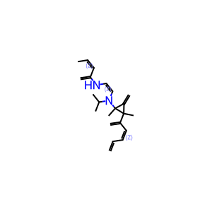 C=C/C=C\C(=C)C1(C)C(=C)C1(C)N(/C=C\NC(=C)/C=C\C)C(C)C